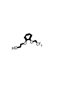 OCCOc1ccccc1OCC(F)(F)F